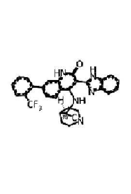 O=c1[nH]c2cc(-c3ccccc3C(F)(F)F)ccc2c(N[C@H]2CN3CCC2CC3)c1-c1nc2ccccc2[nH]1